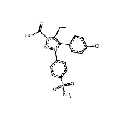 CCc1c(C(=O)O)nn(-c2ccc(S(N)(=O)=O)cc2)c1-c1ccc(Cl)cc1